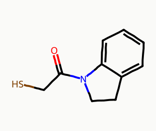 O=C(CS)N1CCc2ccccc21